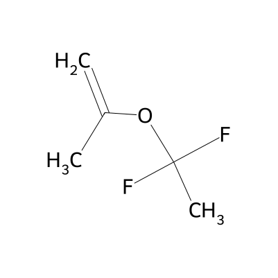 C=C(C)OC(C)(F)F